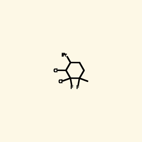 CC(C)C1CCC(C)(F)C(F)(Cl)C1Cl